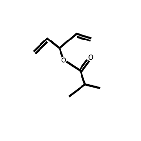 C=CC(C=C)OC(=O)C(C)C